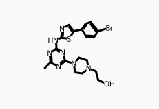 Cc1nc(Nc2ncc(-c3ccc(Br)cc3)s2)nc(N2CCN(CCO)CC2)n1